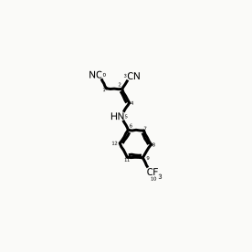 N#CCC(C#N)=CNc1ccc(C(F)(F)F)cc1